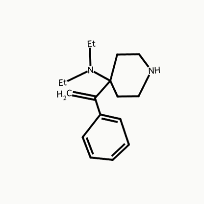 C=C(c1ccccc1)C1(N(CC)CC)CCNCC1